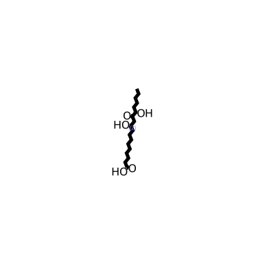 CCCCCC(O)C(=O)C/C(O)=C/CCCCCCCC(=O)O